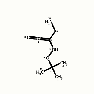 CC(C)(C)ONC(=C=O)CN